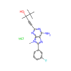 Cl.Cn1c(-c2cccc(F)c2)nc2c(N)nc(C#CC(C)(O)C(C)(C)C)nc21